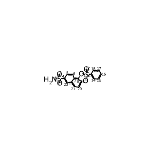 NS(=O)(=O)c1ccc2c(OS(=O)(=O)c3ccccc3)cccc2c1